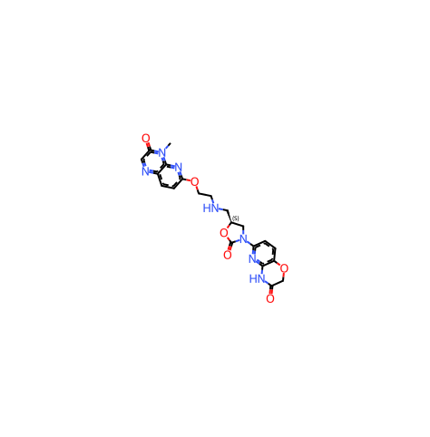 Cn1c(=O)cnc2ccc(OCCNC[C@H]3CN(c4ccc5c(n4)NC(=O)CO5)C(=O)O3)nc21